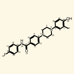 Cc1cc(N2CCN(c3ccc(C(=O)Nc4ccc(F)cc4)cc3)CC2)ccc1O